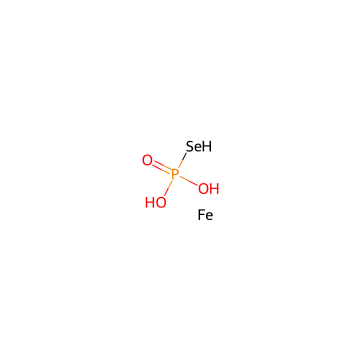 O=P(O)(O)[SeH].[Fe]